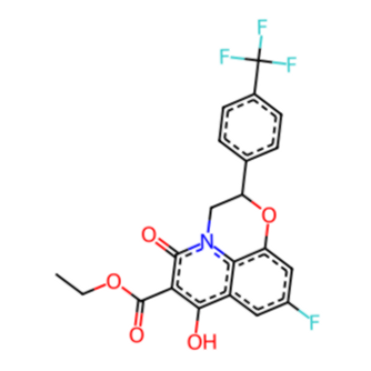 CCOC(=O)c1c(O)c2cc(F)cc3c2n(c1=O)CC(c1ccc(C(F)(F)F)cc1)O3